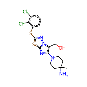 CC1(N)CCN(c2nc3sc(Sc4cccc(Cl)c4Cl)nn3c2CO)CC1